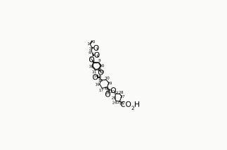 C=CC(=O)CC(=O)Oc1ccc(OC(=O)C2CCC(C(=O)OC3CCC(C(=O)O)CC3)CC2)cc1